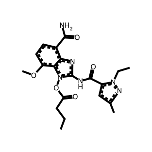 CCCC(=O)On1c(NC(=O)c2cc(C)nn2CC)nc2c(C(N)=O)ccc(OC)c21